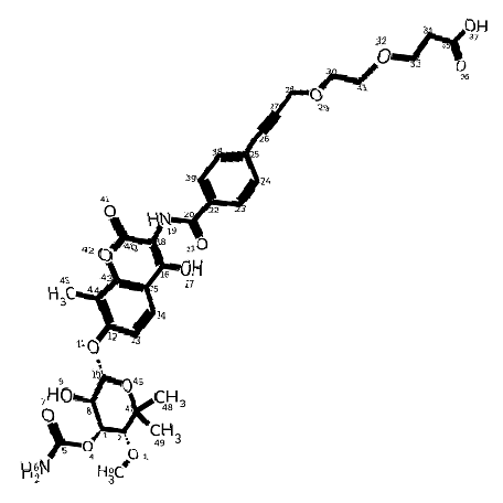 CO[C@@H]1[C@@H](OC(N)=O)[C@@H](O)[C@H](Oc2ccc3c(O)c(NC(=O)c4ccc(C#CCOCCOCCC(=O)O)cc4)c(=O)oc3c2C)OC1(C)C